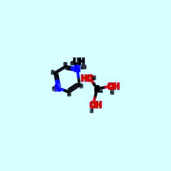 OB(O)O.[LiH].c1cnccn1